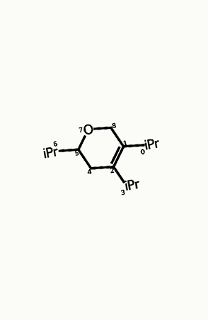 CC(C)C1=C(C(C)C)CC(C(C)C)OC1